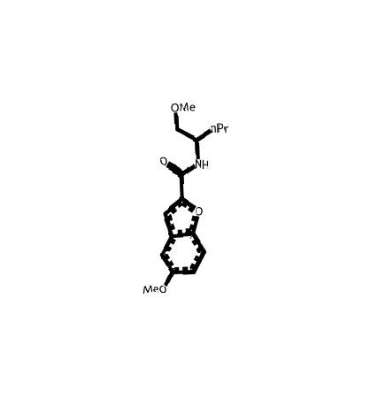 CCCC(COC)NC(=O)c1cc2cc(OC)ccc2o1